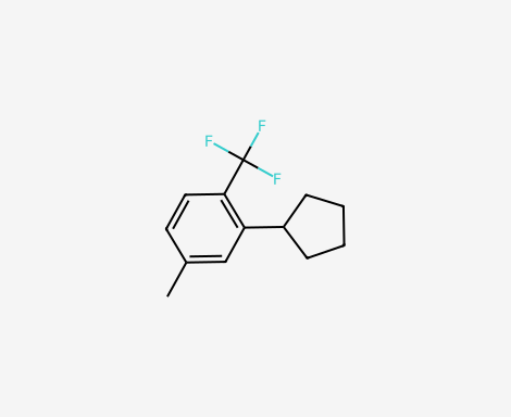 Cc1ccc(C(F)(F)F)c(C2CCCC2)c1